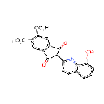 O=C(O)c1cc2c(cc1C(=O)O)C(=O)C(c1ccc3cccc(O)c3n1)C2=O